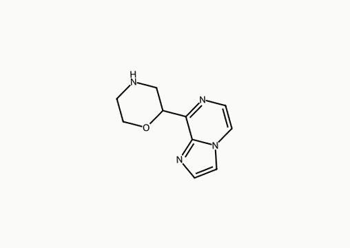 c1cn2ccnc2c(C2CNCCO2)n1